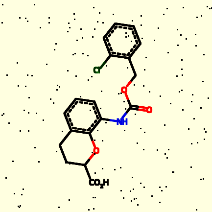 O=C(Nc1cccc2c1OC(C(=O)O)CC2)OCc1ccccc1Cl